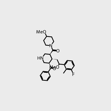 COC1CCN(C(=O)[C@@H]2CNC[C@H](C(=O)c3ccccc3)[C@H]2CC(OC)c2cccc(F)c2C)CC1